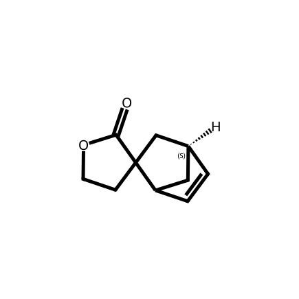 O=C1OCCC12C[C@H]1C=CC2C1